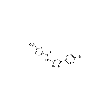 O=C(Nc1cc(-c2ccc(Br)cc2)n[nH]1)c1ccc([N+](=O)[O-])s1